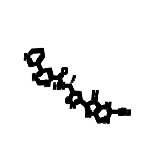 C[C@@H](NC(=O)c1cc(-c2cccnc2)ncn1)c1cc(-c2nc3cnc(C(C)(C)C)nc3[nH]2)no1